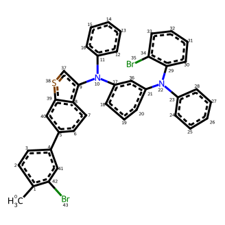 Cc1ccc(-c2ccc3c(N(c4ccccc4)c4cccc(N(c5ccccc5)c5ccccc5Br)c4)csc3c2)cc1Br